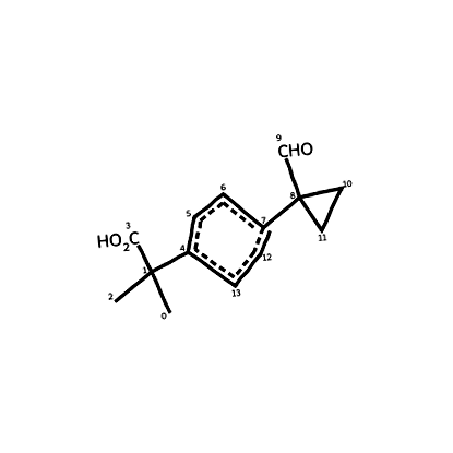 CC(C)(C(=O)O)c1ccc(C2(C=O)CC2)cc1